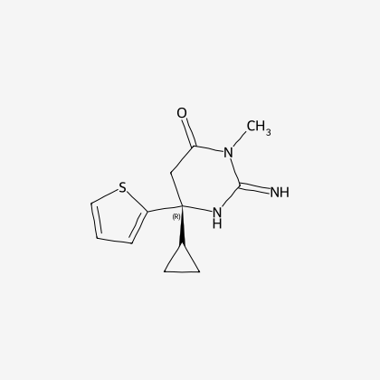 CN1C(=N)N[C@@](c2cccs2)(C2CC2)CC1=O